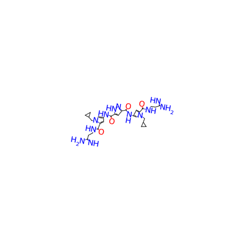 N=C(N)CCNC(=O)c1cc(NC(=O)c2cc(C(=O)Nc3cc(C(=O)NCCC(=N)N)n(CC4CC4)c3)[nH]n2)cn1CC1CC1